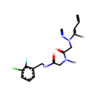 C=C/C=C(\CC)N(CC(=O)N(CC(=O)NCc1cccc(Cl)c1F)C(C)C)N=C